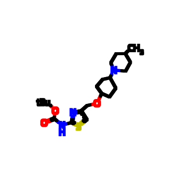 CC1CCN(C2CCC(OCc3csc(NC(=O)OC(C)(C)C)n3)CC2)CC1